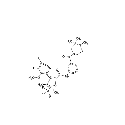 COc1c([C@H]2[C@H](C(=O)Nc3ccnc(C(=O)N4CCN(C)C(C)(C)C4)c3)O[C@@](C)(C(F)(F)F)[C@H]2C)ccc(F)c1F